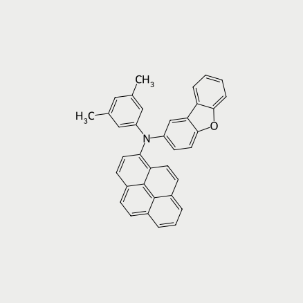 Cc1cc(C)cc(N(c2ccc3oc4ccccc4c3c2)c2ccc3ccc4cccc5ccc2c3c45)c1